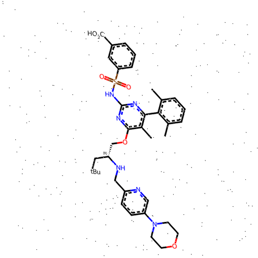 Cc1cccc(C)c1-c1nc(NS(=O)(=O)c2cccc(C(=O)O)c2)nc(OC[C@@H](CC(C)(C)C)NCc2ccc(N3CCOCC3)cn2)c1C